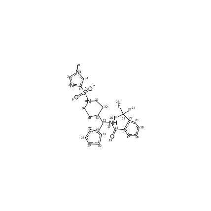 Cn1cnc(S(=O)(=O)N2CCC(C(NC(=O)c3ccccc3C(F)(F)F)c3ccccc3)CC2)c1